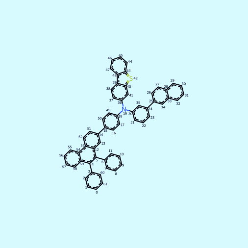 c1ccc(-c2c(-c3ccccc3)c3cc(-c4ccc(N(c5cccc(-c6ccc7ccccc7c6)c5)c5ccc6c(c5)sc5ccccc56)cc4)ccc3c3ccccc23)cc1